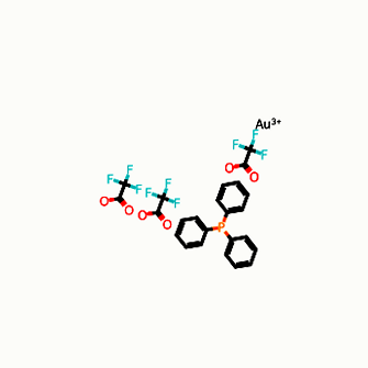 O=C([O-])C(F)(F)F.O=C([O-])C(F)(F)F.O=C([O-])C(F)(F)F.[Au+3].c1ccc(P(c2ccccc2)c2ccccc2)cc1